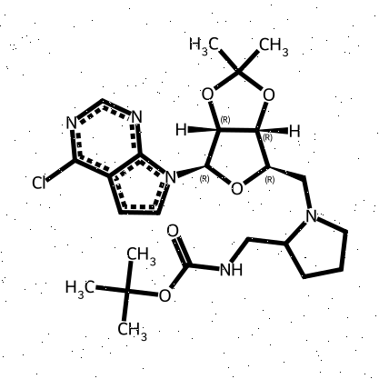 CC(C)(C)OC(=O)NCC1CCCN1C[C@H]1O[C@@H](n2ccc3c(Cl)ncnc32)[C@@H]2OC(C)(C)O[C@@H]21